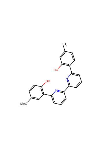 COc1ccc(O)c(-c2cccc(-c3cccc(-c4ccc(C)cc4O)n3)n2)c1